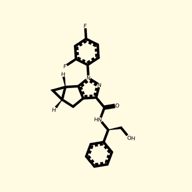 O=C(N[C@@H](CO)c1ccccc1)c1nn(-c2ccc(F)cc2F)c2c1C[C@@H]1C[C@H]21